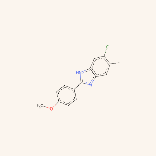 Cc1cc2nc(-c3ccc(OC(F)(F)F)cc3)[nH]c2cc1Cl